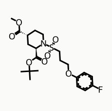 COC(=O)[C@@H]1CCN(S(=O)(=O)CCCOc2ccc(F)cc2)[C@@H](C(=O)OC(C)(C)C)C1